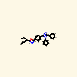 C=C/C=C(\C=C/C)c1nnc(-c2ccc(-c3nnc(-c4ccccc4)n3-c3ccccc3)cc2)o1